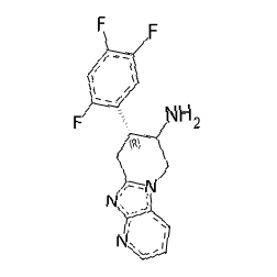 NC1Cn2c(nc3ncccc32)C[C@@H]1c1cc(F)c(F)cc1F